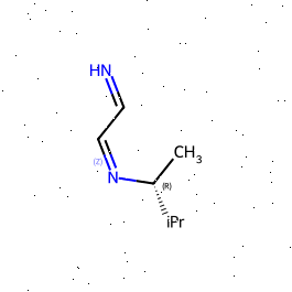 CC(C)[C@@H](C)/N=C\C=N